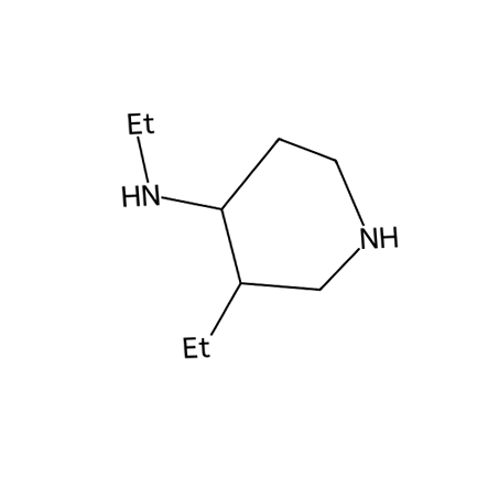 CCNC1CCNCC1CC